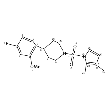 COc1cc(F)ccc1N1CCN(S(=O)(=O)n2cc[n+](C)c2C)CC1